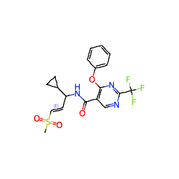 CS(=O)(=O)/C=C/C(NC(=O)c1cnc(C(F)(F)F)nc1Oc1ccccc1)C1CC1